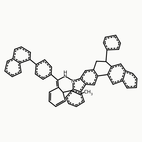 CCCC1C=CC=C/C1=C(/Nn1c2ccccc2c2cc3c(cc21)CC(c1ccccc1)c1cc2ccccc2cc1-3)c1ccc(-c2cccc3ccccc23)cc1